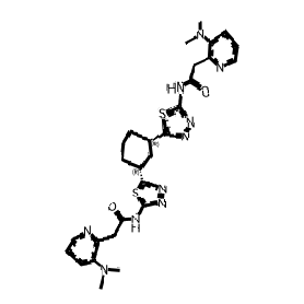 CN(C)c1cccnc1CC(=O)Nc1nnc([C@@H]2CCC[C@@H](c3nnc(NC(=O)Cc4ncccc4N(C)C)s3)C2)s1